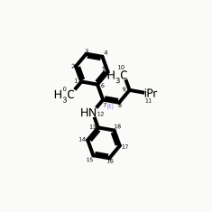 Cc1ccccc1/C(=C\C(C)C(C)C)Nc1ccccc1